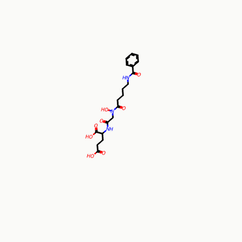 O=C(O)CCC(NC(=O)CN(O)C(=O)CCCCNC(=O)c1ccccc1)C(=O)O